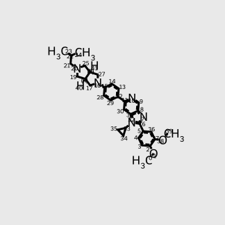 COc1ccc(-c2nc3cnc(-c4ccc(N5C[C@H]6CN(CC(C)C)C[C@H]6C5)cc4)cc3n2C2CC2)cc1OC